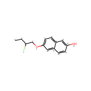 CCC(F)COc1ccc2cc(O)ccc2c1